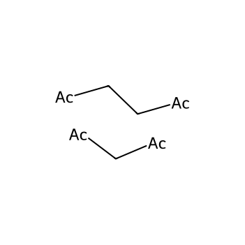 CC(=O)CC(C)=O.CC(=O)CCC(C)=O